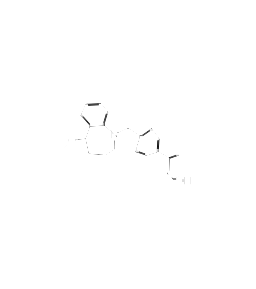 COC1CCCN(Cc2ccc(C(=O)NO)cc2)c2ccccc21